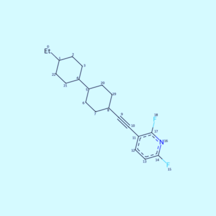 CCC1CCC(C2CCC(C#Cc3ccc(F)nc3F)CC2)CC1